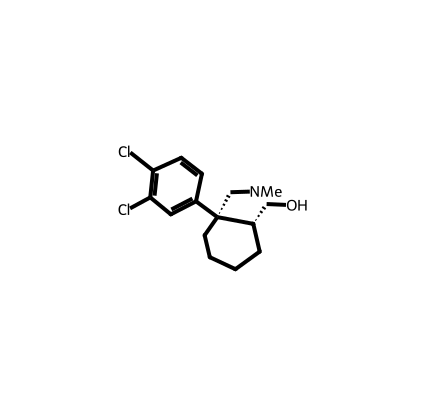 CNC[C@@]1(c2ccc(Cl)c(Cl)c2)CCCC[C@H]1CO